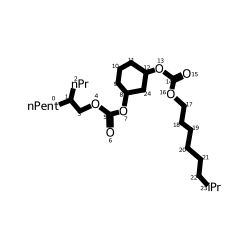 CCCCCC(CCC)COC(=O)OC1CCCC(OC(=O)OCCCCCCC(C)C)C1